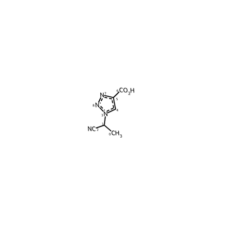 CC(C#N)n1cc(C(=O)O)nn1